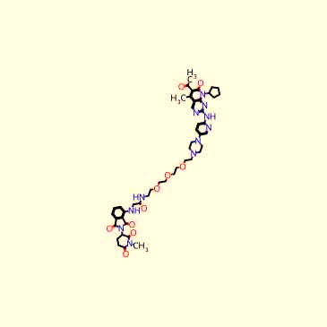 CC(=O)c1c(C)c2cnc(Nc3ccc(N4CCN(CCOCCOCCOCCNC(=O)CNc5cccc6c5C(=O)N(C5CCC(=O)N(C)C5=O)C6=O)CC4)cn3)nc2n(C2CCCC2)c1=O